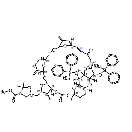 C=C1C[C@@H]2/C=C/C(=O)C[C@H]3O[C@H]4[C@@H](O[Si](c5ccccc5)(c5ccccc5)C(C)(C)C)[C@H]5O[C@H](CC[C@@H]5O[C@H]4[C@H]3O[Si](c3ccccc3)(c3ccccc3)C(C)(C)C)CC(=O)C[C@H]3C(C[C@H]4O[C@@H](CCC1O2)C[C@@H](C)C4=C)O[C@H](C[C@H]1CN(C(=O)OC(C)(C)C)C(C)(C)O1)[C@@H]3C